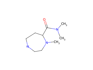 CN(C)C(=O)C1CC[N]CCN1C